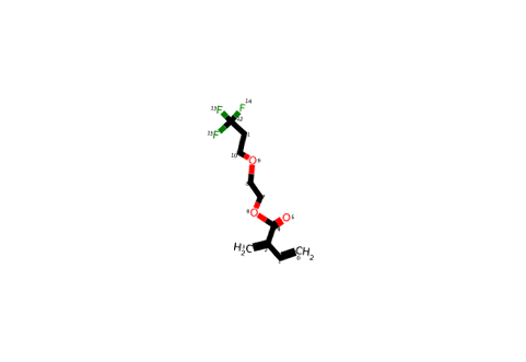 C=CC(=C)C(=O)OCCOCCC(F)(F)F